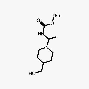 C[C](NC(=O)OC(C)(C)C)N1CCC(CO)CC1